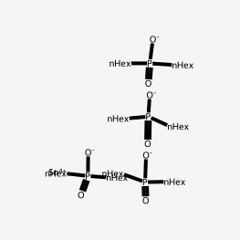 CCCCCCP(=O)([O-])CCCCCC.CCCCCCP(=O)([O-])CCCCCC.CCCCCCP(=O)([O-])CCCCCC.CCCCCCP(=O)([O-])CCCCCC.[Sn+4]